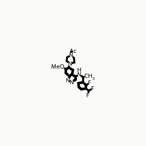 COc1cc2nncc(N[C@H](C)c3cccc(C(F)F)c3F)c2cc1N1CCN(C(C)=O)CC1